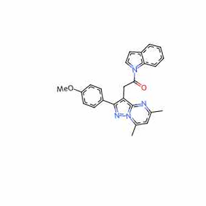 COc1ccc(-c2nn3c(C)cc(C)nc3c2CC(=O)n2ccc3ccccc32)cc1